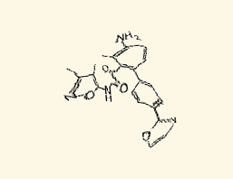 Cc1noc(NS(=O)(=O)c2c(-c3ccc(-c4ncco4)cc3)ccc(N)c2C)c1C